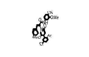 COc1cc(NC(=O)C(Cc2ccccc2)n2cc(OC)c(-c3cc(Cl)ccc3C(C)=O)cc2=O)ccc1C#N